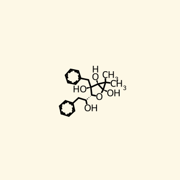 CC1(C)[C@@]2(O)[C@@](O)(Cc3ccccc3)[C@@H](C(O)Cc3ccccc3)O[C@@]12O